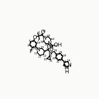 CC(C)(Oc1ccc(F)c(N2CCCC(C(=O)N(Cc3ccc(-c4cn[nH]c4)cc3)C3CC3)C2)c1)C(=O)N1CCN(C(=O)O)CC1